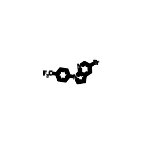 FC(F)(F)c1ccc(-n2ccc3cc(Br)cnc32)cc1